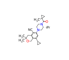 CC(C)[C@@H]1CN(c2cc(C3CC3)c3c(c2C#N)CC(C)(C)OC3)CCN1C(=O)C1(C)CC1